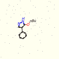 CCCCOc1[nH]n[c]c1-c1ccccc1